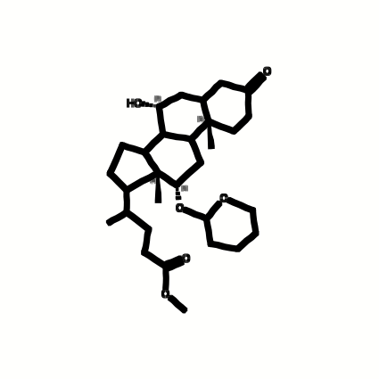 COC(=O)CCC(C)C1CCC2C3C(C[C@H](OC4CCCCO4)[C@]12C)[C@@]1(C)CCC(=O)CC1C[C@H]3O